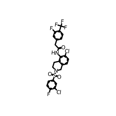 O=C(Cc1ccc(C(F)(F)F)c(F)c1)Nc1c(Cl)ccc2c1CCN(S(=O)(=O)c1ccc(F)c(Cl)c1)C2